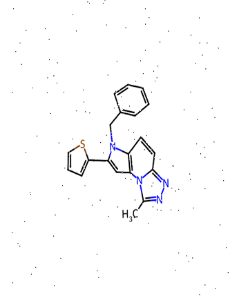 Cc1nnc2ccc3c(cc(-c4cccs4)n3Cc3ccccc3)n12